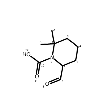 CC1(C)CCCC(C=O)N1C(=O)O